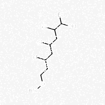 CCC(O)C(Cl)CC(Cl)CC(Cl)CCOC(C)(C)C